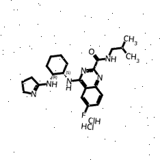 CC(C)CNC(=O)c1nc(N[C@H]2CCCC[C@H]2NC2=NCCC2)c2cc(F)ccc2n1.Cl.Cl